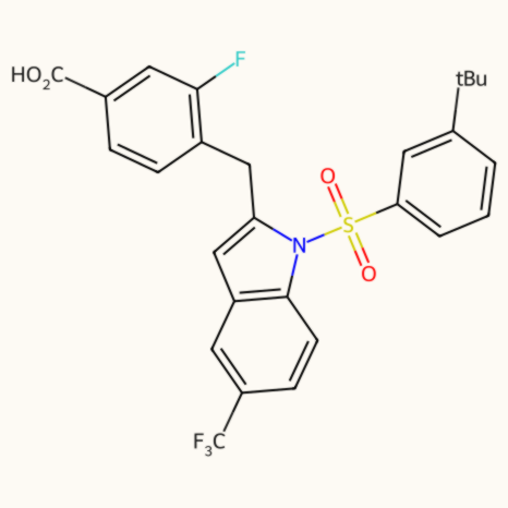 CC(C)(C)c1cccc(S(=O)(=O)n2c(Cc3ccc(C(=O)O)cc3F)cc3cc(C(F)(F)F)ccc32)c1